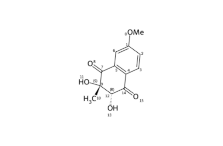 COc1ccc2c(c1)C(=O)[C@@](C)(O)[C@@H](O)C2=O